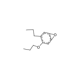 CCCOc1cc2c(cc1CCC)O2